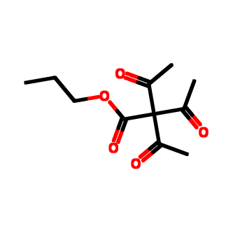 CCCOC(=O)C(C(C)=O)(C(C)=O)C(C)=O